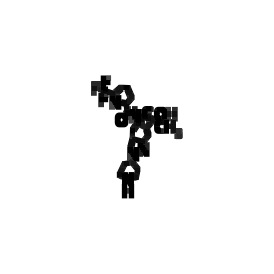 CC(C)(O)c1cc2nn(C3CCNCC3)cc2cc1NC(=O)c1cccc(C(F)(F)F)n1